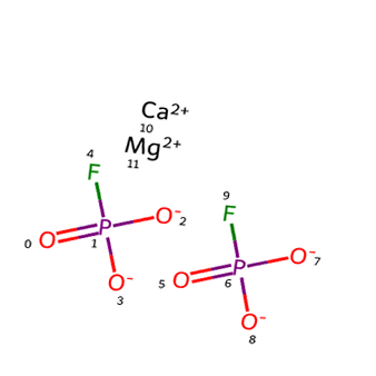 O=P([O-])([O-])F.O=P([O-])([O-])F.[Ca+2].[Mg+2]